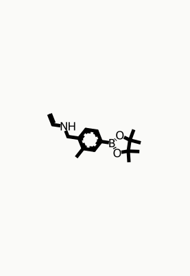 C=CNCc1ccc(B2OC(C)(C)C(C)(C)O2)cc1C